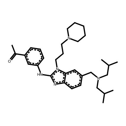 CC(=O)c1cccc(Nc2nc3ccc(CN(CC(C)C)CC(C)C)cc3n2CCCN2CCCCC2)c1